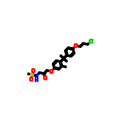 Cc1cc(OCC(=O)CNS(C)(=O)=O)ccc1C(C)(C)c1ccc(OCCCCl)cc1